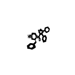 O=C(c1ncn(C2CCCCC2)c1-c1ccccc1)N1CCNC[C@H]1Cc1ccccc1